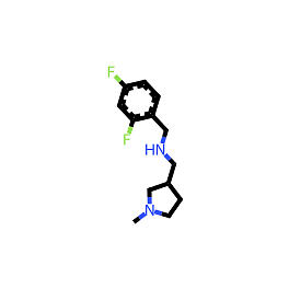 CN1CCC(CNCc2ccc(F)cc2F)C1